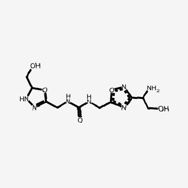 NC(CO)c1noc(CNC(=O)NCC2=NNC(CO)O2)n1